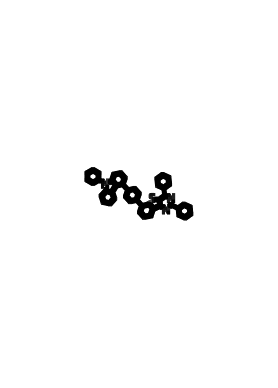 c1ccc(-c2nc(-c3ccccc3)c3sc4c(-c5ccc(-c6cccc7c6c6ccccc6n7-c6ccccc6)cc5)cccc4c3n2)cc1